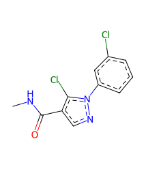 CNC(=O)c1cnn(-c2cccc(Cl)c2)c1Cl